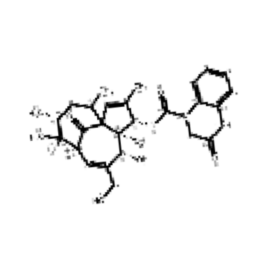 CC1=CC23C(=O)[C@@H](C=C(CO)[C@@H](O)[C@]2(O)[C@H]1OC(=O)N1CC(=O)Nc2ccccc21)C(C)(C)[C@H](C)CC3C